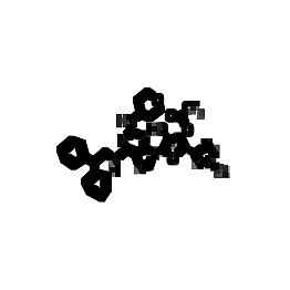 CCn1nnc([C@H]2O[C@@H](n3cnc4c(NCC(c5ccccc5)c5ccccc5)nc(NC5CCOCC5)nc43)[C@H](O)[C@@H]2OC(=O)C(F)(F)F)n1